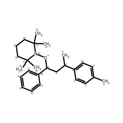 Cc1ccc(C(C)CC(ON2C(C)(C)CCCC2(C)C)c2ccccc2)cc1